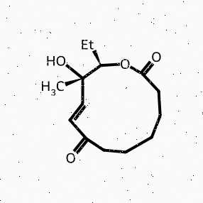 CC[C@H]1OC(=O)CCCCCC(=O)/C=C/[C@]1(C)O